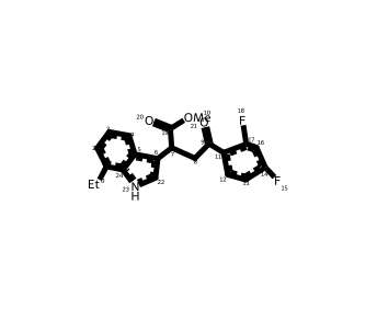 CCc1cccc2c(C(CC(=O)c3ccc(F)cc3F)C(=O)OC)c[nH]c12